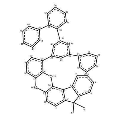 CC1(C)c2ccccc2-c2c1ccc1c2Oc2c(cccc2-c2cc(-c3ccccc3)nc(-c3ccccc3-c3ccccc3)c2)O1